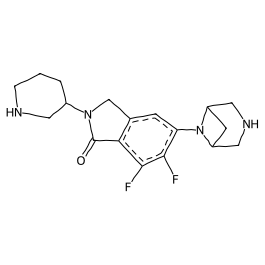 O=C1c2c(cc(N3C4CNCC3C4)c(F)c2F)CN1C1CCCNC1